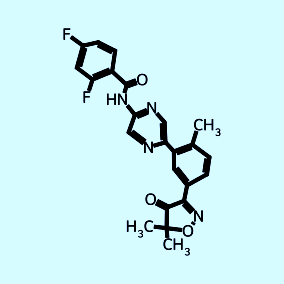 Cc1ccc(C2=NOC(C)(C)C2=O)cc1-c1cnc(NC(=O)c2ccc(F)cc2F)cn1